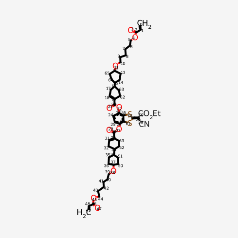 C=CC(=O)OCCCCCCOC1CCC(C2CC=C(C(=O)Oc3ccc(OC(=O)C4=CCC(C5CCC(OCCCCCCOC(=O)C=C)CC5)CC4)c4c3SC(=C(C#N)C(=O)OCC)S4)CC2)CC1